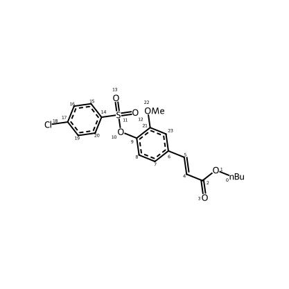 CCCCOC(=O)C=Cc1ccc(OS(=O)(=O)c2ccc(Cl)cc2)c(OC)c1